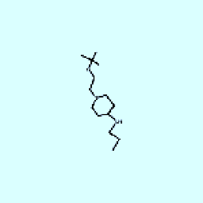 CCCNC1CCN(CCOC(C)(C)C)CC1